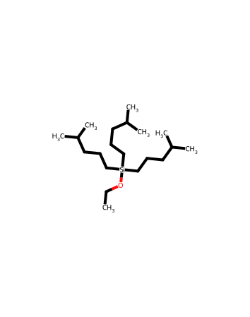 CCO[Si](CCCC(C)C)(CCCC(C)C)CCCC(C)C